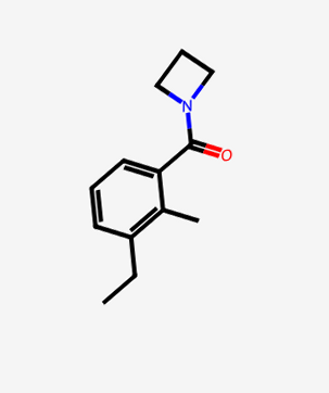 CCc1cccc(C(=O)N2CCC2)c1C